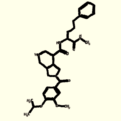 CNC(=O)C(CCCc1ccccc1)NC(=O)C1CNCC2CN(C(=O)c3ccc(OC(C)C)c(OC)c3)CC21